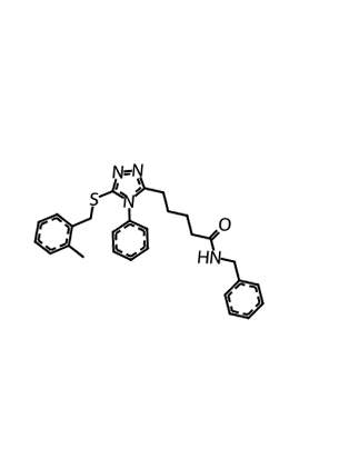 Cc1ccccc1CSc1nnc(CCCCC(=O)NCc2ccccc2)n1-c1ccccc1